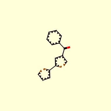 O=C(c1ccccc1)c1csc(-c2cccs2)c1